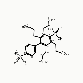 CCCCCCCCCCCCc1c(CCCCCCCCCCCC)c(P(=O)(O)O)c(CCCCCCCCCCCC)c(CCCCCCCCCCCC)c1-c1ccc(P(=O)(O)O)cc1